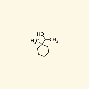 CC(O)C1(C)CCCCC1